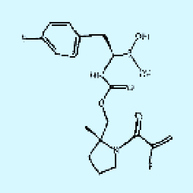 C=C(F)C(=O)N1CCC[C@]1(C)COC(=O)N[C@@H](Cc1ccc(F)cc1)B(O)O